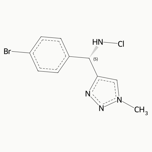 Cn1cc([C@@H](NCl)c2ccc(Br)cc2)nn1